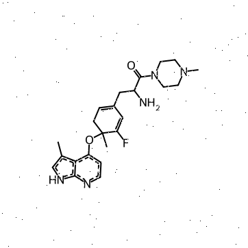 Cc1c[nH]c2nccc(OC3(C)CC=C(CC(N)C(=O)N4CCN(C)CC4)C=C3F)c12